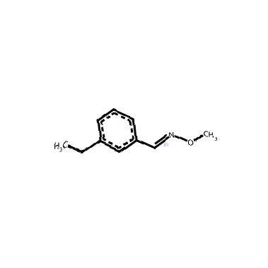 CCc1cccc(/C=N/OC)c1